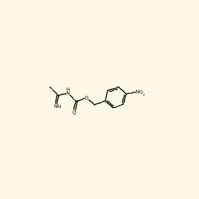 CC(=N)NC(=O)OCc1ccc([N+](=O)[O-])cc1